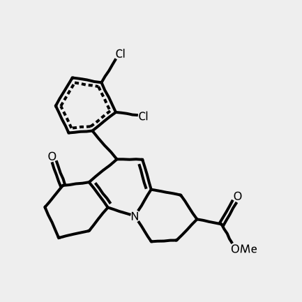 COC(=O)C1CCN2C(=CC(c3cccc(Cl)c3Cl)C3=C2CCCC3=O)C1